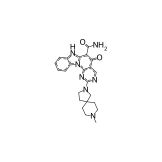 CN1CCC2(CC1)CCN(c1ncc3c(=O)c(C(N)=O)c4[nH]c5ccccc5n4c3n1)C2